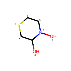 OC1CSCCN1O